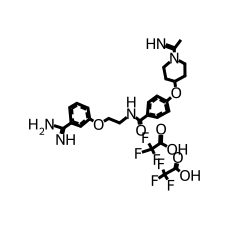 CC(=N)N1CCC(Oc2ccc(C(=O)NCCOc3cccc(C(=N)N)c3)cc2)CC1.O=C(O)C(F)(F)F.O=C(O)C(F)(F)F